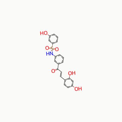 O=C(C=Cc1ccc(O)cc1O)c1cccc(NS(=O)(=O)c2cccc(O)c2)c1